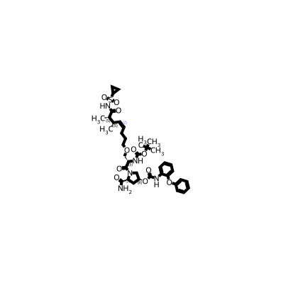 C[C@H](C(=O)NS(=O)(=O)C1CC1)[C@@H](C)/C=C\CCCOC[C@H](NC(=O)OC(C)(C)C)C(=O)N1C[C@H](OC(=O)Nc2ccccc2Oc2ccccc2)C[C@H]1C(N)=O